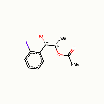 CCCC[C@H](OC(=O)NC)[C@@H](O)c1ccccc1I